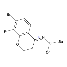 CC(C)(C)[S+]([O-])/N=C1\CCOc2c1ccc(Br)c2F